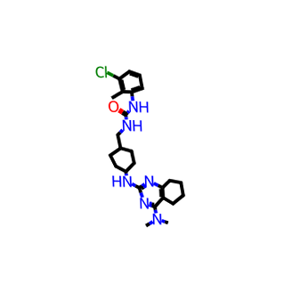 Cc1c(Cl)cccc1NC(=O)NCC1CCC(Nc2nc3c(c(N(C)C)n2)CCCC3)CC1